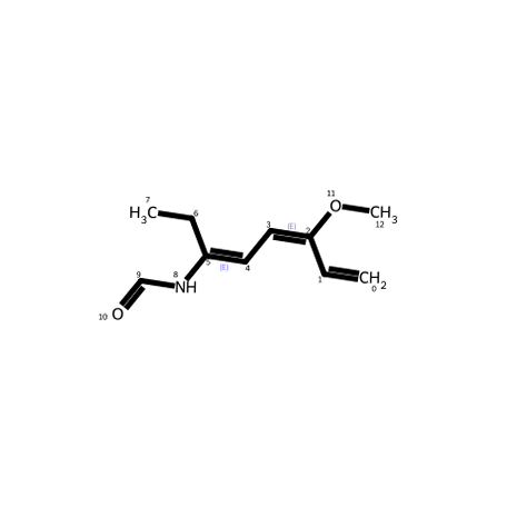 C=C/C(=C\C=C(/CC)NC=O)OC